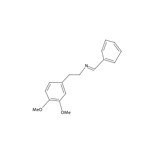 COc1ccc(CCN=Cc2ccccc2)cc1OC